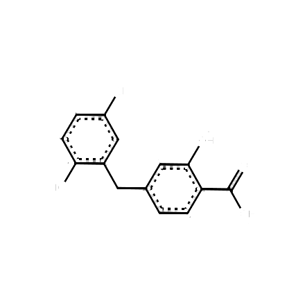 O=C(O)c1ccc(Cc2cc(Cl)ccc2O)cc1O